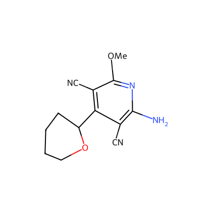 COc1nc(N)c(C#N)c(C2CCCCO2)c1C#N